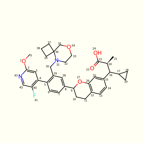 COc1cc(-c2ccc(C3CCc4ccc(C(C5CC5)[C@H](C)C(=O)O)cc4O3)cc2CN2CCOCC23CCC3)c(F)cn1